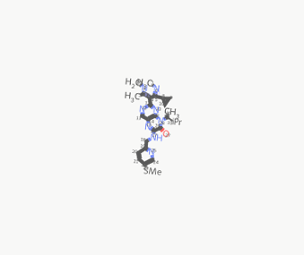 C=N/C(C)=C(\C(=N/C)C1CC1)c1ncc2nc(NCc3ccc(SC)cn3)c(=O)n([C@@H](C)C(C)C)c2n1